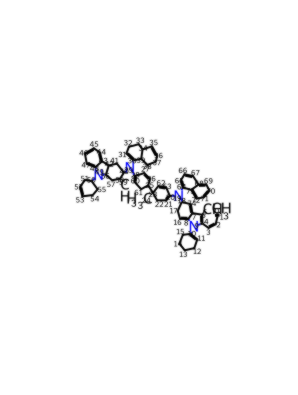 C#C/C=C\c1c(C)c2c(n1C1=CCCCC1)=CCC(N(C1=CC[C@@](C)(C3C=CC(N(C4=CCCC5C=CCCC45)C4CC5c6ccccc6N(C6CC=CCC6)C5CC4C)=CC3)C=C1)c1cccc3ccccc13)C=2